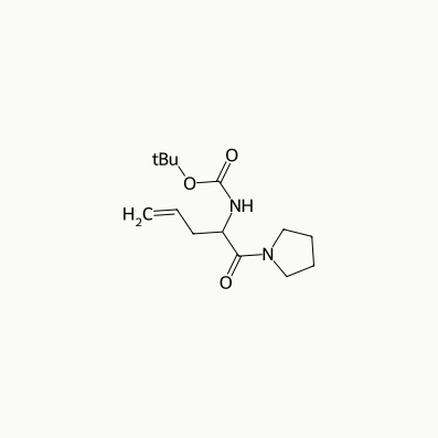 C=CCC(NC(=O)OC(C)(C)C)C(=O)N1CCCC1